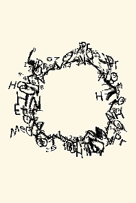 C/C=C/C[C@@H](C)[C@@H](O)[C@H]1C(=O)N[C@@H](CC)C(=O)N(C)C(C(=O)OC)C(=O)N(C)[C@@H](C(C)CC)C(=O)N[C@@H](C(C)C)C(=O)N(C)[C@@H](CC(C)C)C(=O)N[C@@H](C)C(=O)N[C@H](C)C(=O)N(C)[C@@H](CC(C)C)C(=O)N(C)[C@@H](CC(C)C)C(=O)N(C)[C@@H](C(C)C)C(=O)N1C